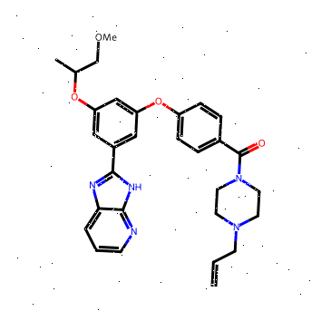 C=CCN1CCN(C(=O)c2ccc(Oc3cc(OC(C)COC)cc(-c4nc5cccnc5[nH]4)c3)cc2)CC1